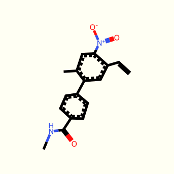 C=Cc1cc(-c2ccc(C(=O)NC)cc2)c(C)cc1[N+](=O)[O-]